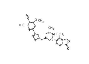 COc1cc(-n2cc(CN3C[C@@H](c4ccc5c(c4C)COC5=O)N[C@@H](C)C3)nn2)nc(C)c1C#N